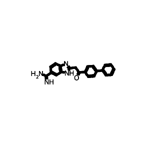 N=C(N)c1ccc2nc(CC(=O)c3ccc(-c4ccccc4)cc3)[nH]c2c1